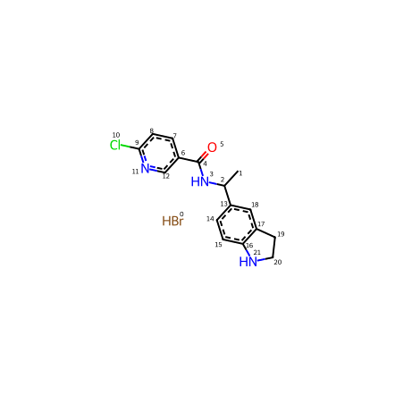 Br.CC(NC(=O)c1ccc(Cl)nc1)c1ccc2c(c1)CCN2